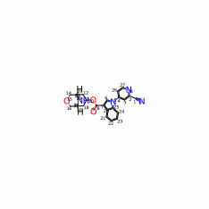 N#Cc1cc(-n2cc(C(=O)OC3C[C@H]4COC[C@@H](C3)N4)c3ccccc32)ccn1